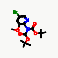 COc1cc(Br)cnc1N(C(=O)OC(C)(C)C)C(=O)OC(C)(C)C